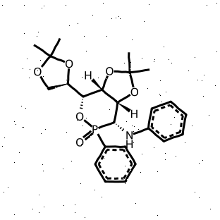 CC1(C)O[C@H]2[C@@H]([C@H]3COC(C)(C)O3)OP(=O)(c3ccccc3)[C@@H](Nc3ccccc3)[C@H]2O1